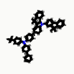 CC(C)(C)c1ccc(N(C2=CCC(c3ccccc3)C=C2)c2ccc(-c3ccc4c(c3)c3c(n4-c4ccc5c(c4)C(C)(C)c4ccccc4-5)-c4ccccc4C3(C)C)cc2)cc1